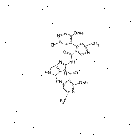 COc1cnc(Cl)cc1-c1cc(C)ncc1C(=O)NC1=NC2=C(C(C)NC2)[SH]1C(=O)c1ccc(C(F)(F)F)nc1OC